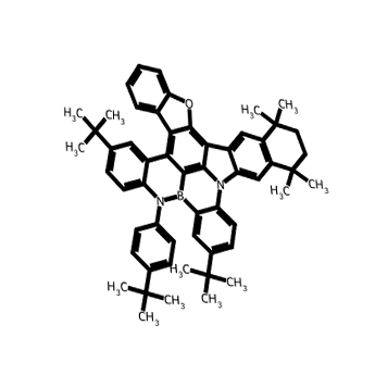 CC(C)(C)c1ccc(N2B3c4cc(C(C)(C)C)ccc4-n4c5cc6c(cc5c5c7oc8ccccc8c7c(c3c54)-c3cc(C(C)(C)C)ccc32)C(C)(C)CCC6(C)C)cc1